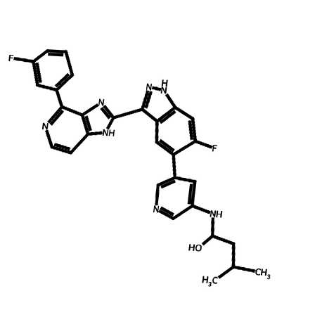 CC(C)CC(O)Nc1cncc(-c2cc3c(-c4nc5c(-c6cccc(F)c6)nccc5[nH]4)n[nH]c3cc2F)c1